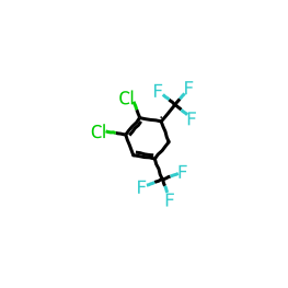 FC(F)(F)[C]1CC(C(F)(F)F)=CC(Cl)=C1Cl